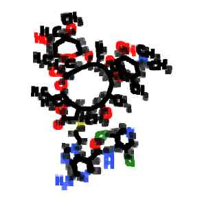 CC[C@H]1OC(=O)[C@H](C)[C@@H](O[C@H]2C[C@@](C)(OC)[C@@H](O)[C@H](C)O2)[C@H](C)[C@@H](O[C@@H]2O[C@H](C)C[C@H](N(C)C)[C@H]2O)[C@](C)(OC)C[C@@H](C)C(=O)[C@H](C)[C@H]2[C@H](SCCn3cnc4c(N)ncc(C(=O)Nc5c(Cl)cncc5Cl)c43)C(=O)O[C@@]21C